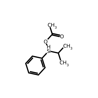 CC(=O)O[SiH](c1ccccc1)C(C)C